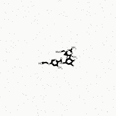 C#CCOc1cnc(C(=O)Nc2cc(F)c(F)c([C@@]3(C)N=C(N)S[C@@]4(COC)C[C@H]43)c2)c(C)c1